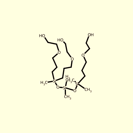 C[Si](C)(CCCOCCO)O[Si](C)(C)O[Si](C)(CCCOCCO)CCCOCCO